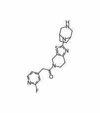 O=C(Cc1ccnc(F)c1)N1CCc2nc(N3C4CCC3CNC4)sc2C1